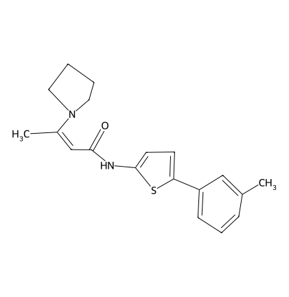 CC(=CC(=O)Nc1ccc(-c2cccc(C)c2)s1)N1CCCC1